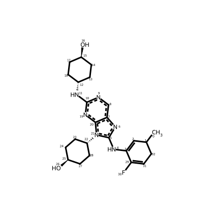 CC1C=C(Nc2nc3cnc(N[C@H]4CC[C@H](O)CC4)nc3n2[C@H]2CC[C@H](O)CC2)C(F)=CC1